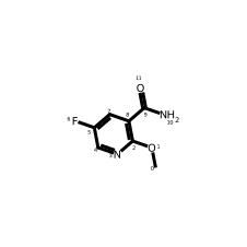 COc1ncc(F)cc1C(N)=O